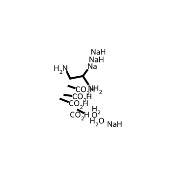 CC(=O)O.CC(=O)O.CC(=O)O.CC(=O)O.NC[CH](N)[Na].O.O.[NaH].[NaH].[NaH]